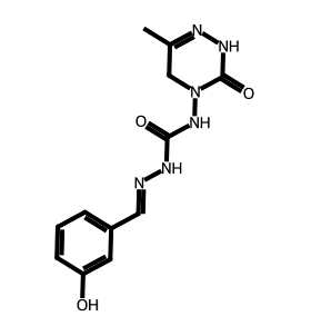 CC1=NNC(=O)N(NC(=O)N/N=C/c2cccc(O)c2)C1